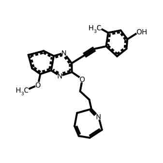 COc1cccc2nc(C#Cc3ccc(O)cc3C)c(OCCC3=NC=CC=CC3)nc12